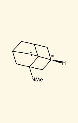 CNC12CC3CC(C1)S[C@H](C3)C2